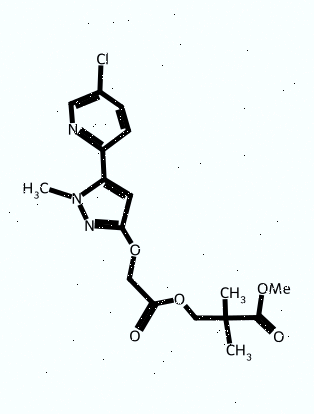 COC(=O)C(C)(C)COC(=O)COc1cc(-c2ccc(Cl)cn2)n(C)n1